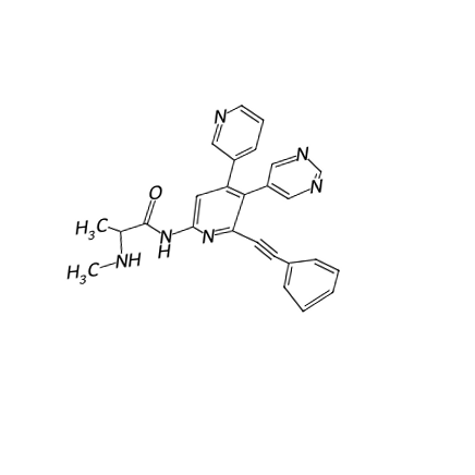 CNC(C)C(=O)Nc1cc(-c2cccnc2)c(-c2cncnc2)c(C#Cc2ccccc2)n1